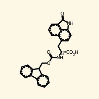 O=C(N[C@@H](Cc1ccc2c3c(cccc13)C(=O)N2)C(=O)O)OCC1c2ccccc2-c2ccccc21